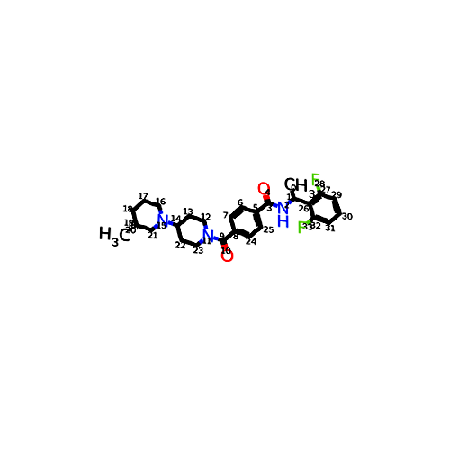 CC(NC(=O)c1ccc(C(=O)N2CCC(N3CCC[C@@H](C)C3)CC2)cc1)c1c(F)cccc1F